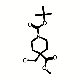 COC(=O)C1(CCl)CCN(C(=O)OC(C)(C)C)CC1